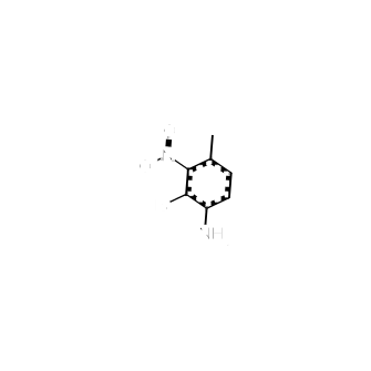 Cc1ccc(N)c(S)c1[N+](=O)[O-]